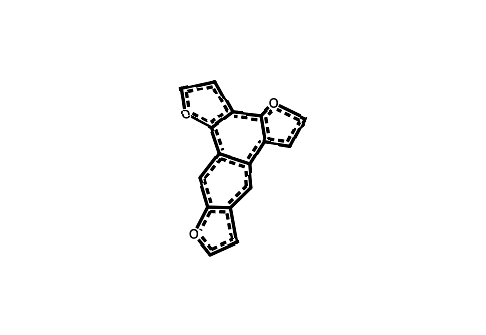 c1cc2cc3c4ccoc4c4ccoc4c3cc2o1